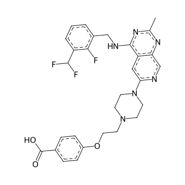 Cc1nc(NCc2cccc(C(F)F)c2F)c2cc(N3CCN(CCOc4ccc(C(=O)O)cc4)CC3)ncc2n1